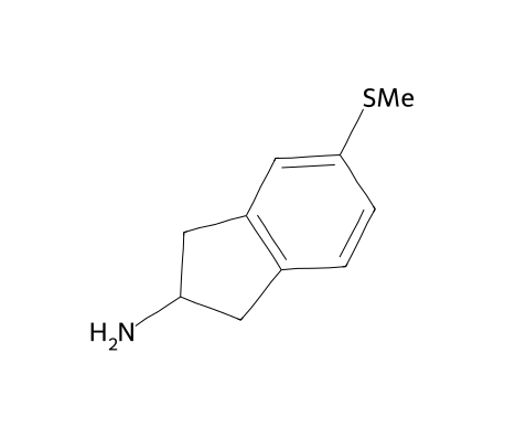 CSc1ccc2c(c1)CC(N)C2